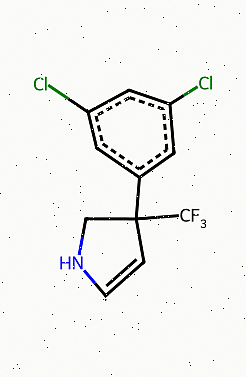 FC(F)(F)C1(c2cc(Cl)cc(Cl)c2)C=[C]NC1